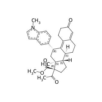 COC(=O)[C@]1(C(C)=O)CC[C@H]2[C@@H]3CCC4=CC(=O)CCC4=C3[C@@H](c3ccc4c(ccn4C)c3)C[C@@]21C